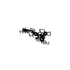 CC(C)(C)CC[C@@H](c1ccc(C(=O)NCc2nn[nH]n2)cc1)N1C(=O)C(c2cc(Cl)cc(Cl)c2)=NC12CCC(C(C)(C)C)CC2